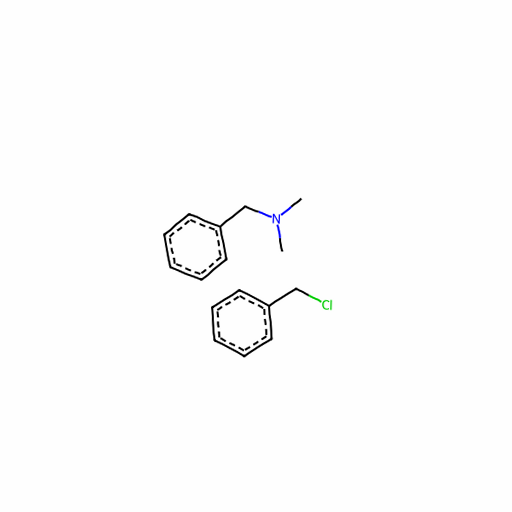 CN(C)Cc1ccccc1.ClCc1ccccc1